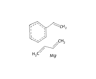 C=CC=C.C=Cc1ccccc1.[Mg]